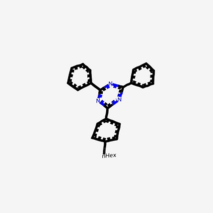 CCCCCCc1ccc(-c2nc(-c3ccccc3)nc(-c3ccccc3)n2)cc1